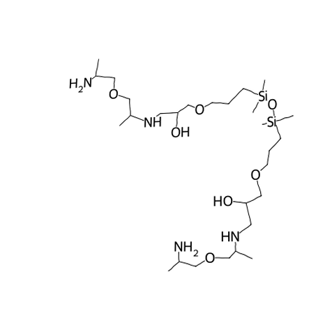 CC(N)COCC(C)NCC(O)COCCC[Si](C)(C)O[Si](C)(C)CCCOCC(O)CNC(C)COCC(C)N